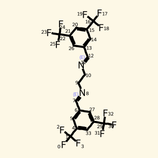 FC(F)(F)c1cc(/C=N/CC/N=C/c2cc(C(F)(F)F)cc(C(F)(F)F)c2)cc(C(F)(F)F)c1